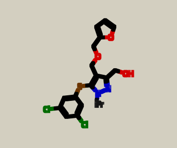 CC(C)n1nc(CO)c(COCc2ccco2)c1Sc1cc(Cl)cc(Cl)c1